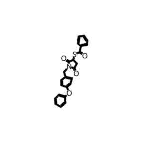 O=C(SC1CC(=O)N(Cc2ccc(Oc3ccccc3)cc2)C1=O)c1ccccc1